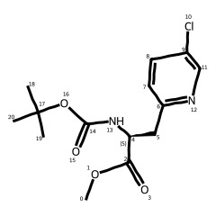 COC(=O)[C@H](Cc1ccc(Cl)cn1)NC(=O)OC(C)(C)C